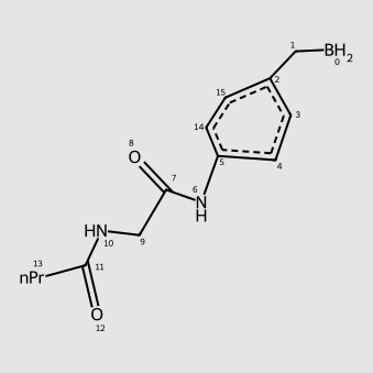 BCc1ccc(NC(=O)CNC(=O)CCC)cc1